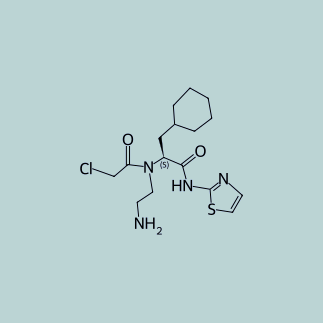 NCCN(C(=O)CCl)[C@@H](CC1CCCCC1)C(=O)Nc1nccs1